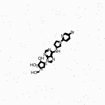 OC[C@H]1C[C@@H](n2cnc3c(N[C@H]4CCN(c5ccc(Br)cn5)C4)ncnc32)[C@@H](O)[C@H]1O